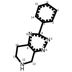 c1ccc(-c2nnc3c(n2)CCNC3)cc1